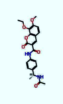 CCOc1c(OC)ccc2cc(C(=O)Nc3ccc([C@@H](C)NC(C)=O)cc3)c(=O)oc12